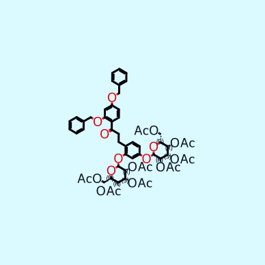 CC(=O)OC[C@H]1OC(Oc2ccc(CCC(=O)c3ccc(OCc4ccccc4)cc3OCc3ccccc3)c(OC3O[C@H](COC(C)=O)[C@@H](OC(C)=O)[C@H](OC(C)=O)[C@H]3OC(C)=O)c2)[C@H](OC(C)=O)[C@@H](OC(C)=O)[C@@H]1OC(C)=O